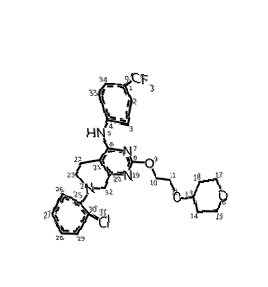 FC(F)(F)c1ccc(Nc2nc(OCCOC3CCOCC3)nc3c2CCN(c2ccccc2Cl)C3)cc1